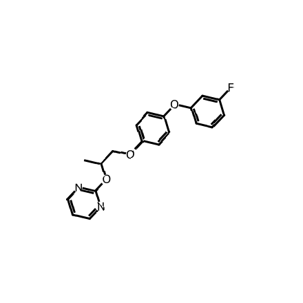 CC(COc1ccc(Oc2cccc(F)c2)cc1)Oc1ncccn1